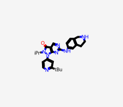 CC(C)n1c(=O)c2cnc(Nc3ccc4c(c3)CCNC4)nc2n1-c1ccnc(C(C)(C)C)c1